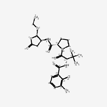 CCO[C@@H]1OC(=O)C[C@@H]1NC(=O)[C@@H]1CCCN1C(=O)[C@@H](NC(=O)c1cccc(C)c1Cl)C(C)(C)C